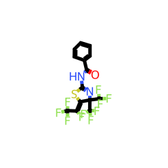 O=C(NC1=NC(C(F)(F)F)(C(F)(F)F)C(=C(F)C(F)(F)F)S1)c1ccccc1